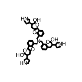 O=C(O)C(Cc1cccc(CN(Cc2cccc3cc(CC(C(=O)O)C4CCNC4)oc23)Cc2cccc3cc(CC(C(=O)O)C4CCNC4)oc23)c1)C1CCNC1